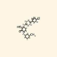 Cc1cccc(Cn2ccc(CN3CCN(c4ccc(Cl)nn4)CC3)c(O)c2=O)c1